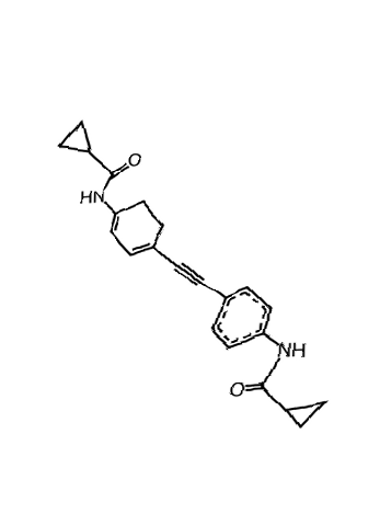 O=C(NC1=CC=C(C#Cc2ccc(NC(=O)C3CC3)cc2)CC1)C1CC1